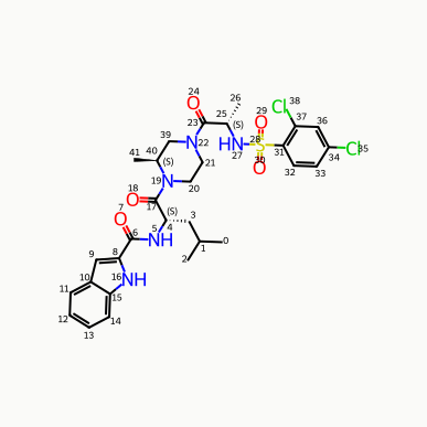 CC(C)C[C@H](NC(=O)c1cc2ccccc2[nH]1)C(=O)N1CCN(C(=O)[C@H](C)NS(=O)(=O)c2ccc(Cl)cc2Cl)C[C@@H]1C